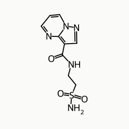 NS(=O)(=O)CCNC(=O)c1cnn2cccnc12